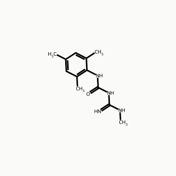 CNC(=N)NC(=O)Nc1c(C)cc(C)cc1C